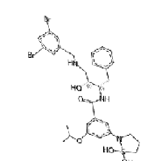 CC(C)Oc1cc(C(=O)N[C@@H](Cc2ccccc2)[C@H](O)CNCc2cc(Br)cc(Br)c2)cc(N2CCCS2(O)O)c1